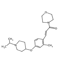 Cc1cc(OC2CCN(C(C)C)CC2)ccc1C=CC(=O)N1CCOCC1